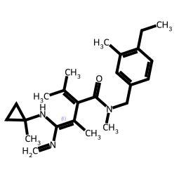 C=N/C(NC1(C)CC1)=C(\C)C(C(=O)N(C)Cc1ccc(CC)c(C)c1)=C(C)C